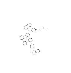 COc1ccc(N(c2ccc(C3(c4cccc(-c5ccc(-c6nccc7ccccc67)cc5)c4)c4ccccc4-c4ccccc43)cc2)c2cccc3ccccc23)cc1